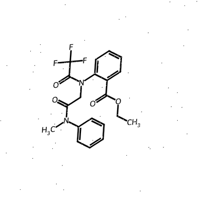 CCOC(=O)c1ccccc1N(CC(=O)N(C)c1ccccc1)C(=O)C(F)(F)F